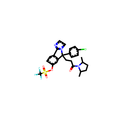 CC1CCC(C)N1C(=O)CCC1(c2ccc(Cl)cc2)c2cc(OS(=O)(=O)C(F)(F)F)ccc2-c2nccn21